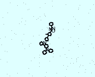 Cc1cc(-c2nc(-c3ccccc3)no2)ccc1-c1ccc(-n2c3ccccc3c3cc(N(c4ccccc4)c4ccccc4)ccc32)cc1